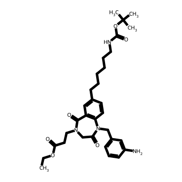 CCOC(=O)CCN1CC(=O)N(Cc2cccc(N)c2)c2ccc(CCCCCCNC(=O)OC(C)(C)C)cc2C1=O